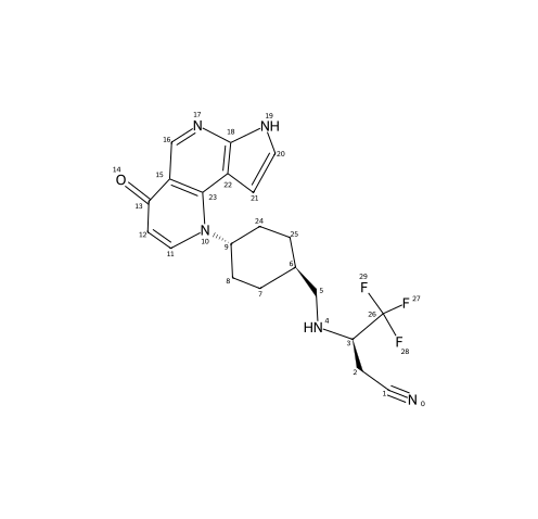 N#CC[C@@H](NC[C@H]1CC[C@H](n2ccc(=O)c3cnc4[nH]ccc4c32)CC1)C(F)(F)F